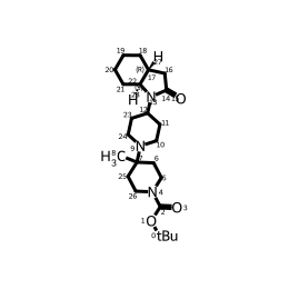 CC(C)(C)OC(=O)N1CCC(C)(N2CCC(N3C(=O)C[C@H]4CCCC[C@@H]43)CC2)CC1